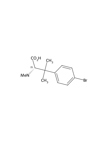 CN[C@H](C(=O)O)C(C)(C)c1ccc(Br)cc1